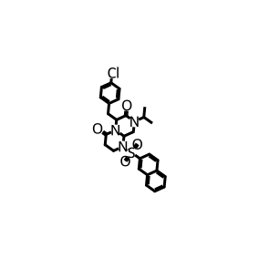 CC(C)N1CC2N(C(=O)CCN2S(=O)(=O)c2ccc3ccccc3c2)C(Cc2ccc(Cl)cc2)C1=O